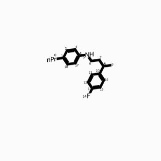 CCCc1ccc(NCCC(C)c2ccc(F)cc2)cc1